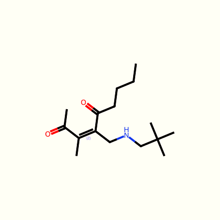 CCCCC(=O)/C(CNCC(C)(C)C)=C(/C)C(C)=O